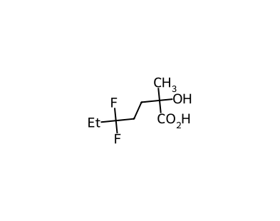 CCC(F)(F)CCC(C)(O)C(=O)O